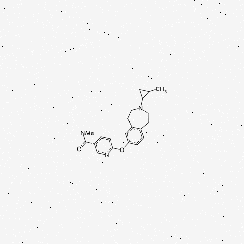 CNC(=O)c1ccc(Oc2ccc3c(c2)CCN(C2CC2C)CC3)nc1